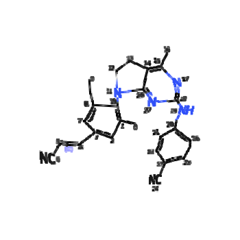 Cc1cc(/C=C/C#N)cc(C)c1N1CCc2c(C)nc(Nc3ccc(C#N)cc3)nc21